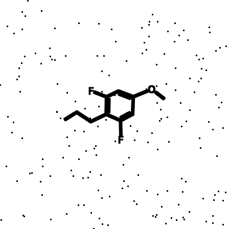 CCCc1c(F)cc(OC)cc1F